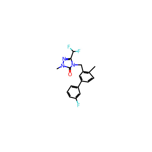 Cc1ccc(-c2cccc(F)c2)cc1Cn1c(C(F)F)nn(C)c1=O